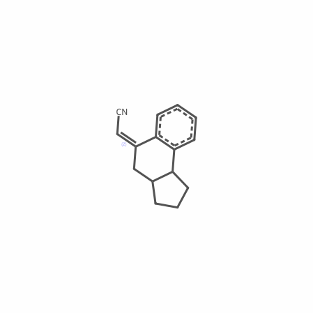 N#C/C=C1/CC2CCCC2c2ccccc21